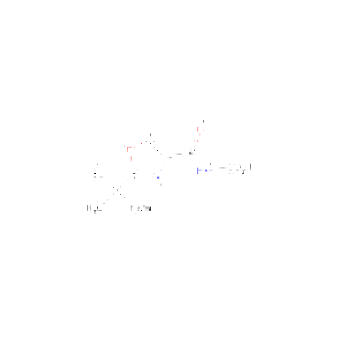 CCC(C)(NC)c1nc(C(=O)NC(=O)O)co1